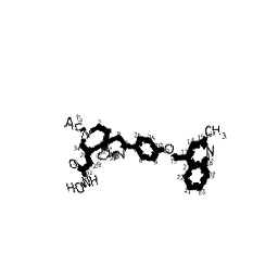 CC(=O)N1CCC2(CC(c3ccc(OCc4cc(C)nc5ccccc45)cc3)=NO2)C(CC(=O)NO)C1